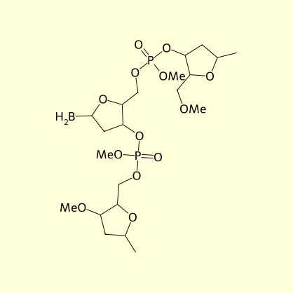 BC1CC(OP(=O)(OC)OCC2OC(C)CC2OC)C(COP(=O)(OC)OC2CC(C)OC2COC)O1